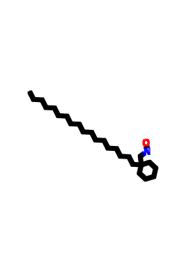 CCCCCCCCCCCCCCCCCCC1(CN=O)CCCCC1